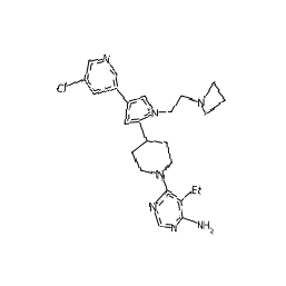 CCc1c(N)ncnc1N1CCC(c2cc(-c3cncc(Cl)c3)cn2CCN2CCC2)CC1